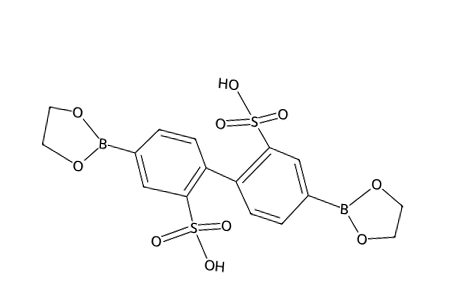 O=S(=O)(O)c1cc(B2OCCO2)ccc1-c1ccc(B2OCCO2)cc1S(=O)(=O)O